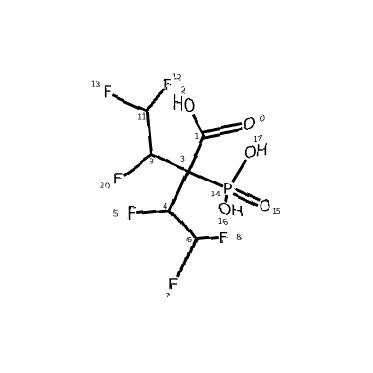 O=C(O)C(C(F)C(F)F)(C(F)C(F)F)P(=O)(O)O